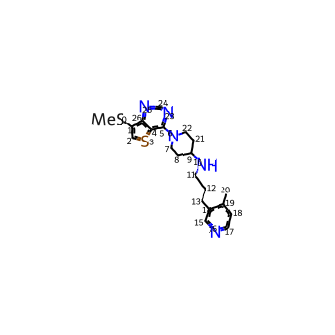 CSc1csc2c(N3CCC(NCCCc4cnccc4C)CC3)ncnc12